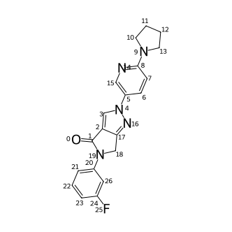 O=C1c2cn(-c3ccc(N4CCCC4)nc3)nc2CN1c1cccc(F)c1